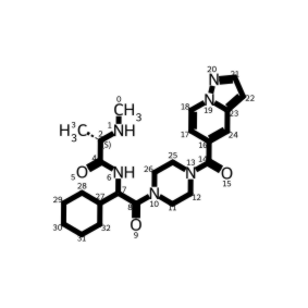 CN[C@@H](C)C(=O)NC(C(=O)N1CCN(C(=O)c2ccn3nccc3c2)CC1)C1CCCCC1